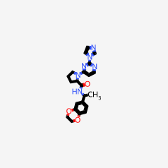 CC(NC(=O)C1CCCN1c1ccnc(-n2ccnc2)n1)c1ccc2c(c1)OCCO2